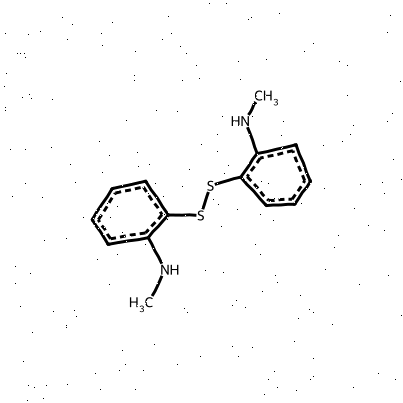 CNc1ccccc1SSc1ccccc1NC